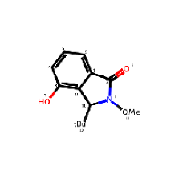 CON1C(=O)c2cccc(O)c2C1C(C)(C)C